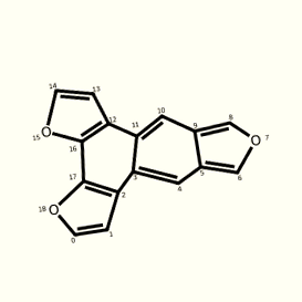 c1cc2c3cc4cocc4cc3c3ccoc3c2o1